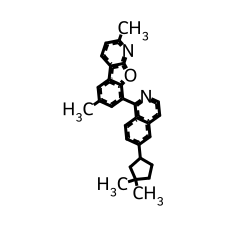 Cc1cc(-c2nccc3cc(C4CCC(C)(C)C4)ccc23)c2oc3nc(C)ccc3c2c1